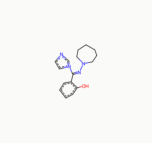 Oc1ccccc1C(=NN1CCCCCC1)n1ccnc1